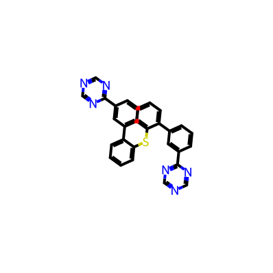 c1cc(-c2ncncn2)cc(-c2ccccc2Sc2ccccc2-c2cccc(-c3ncncn3)c2)c1